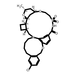 C[C@@H]1C[C@@H]2C[C@H](O1)[C@@H]1CC[C@H]1CN1CCCCc3cc(Cl)ccc3COc3ccc(cc31)C(=O)NS(=O)(=O)CCO2